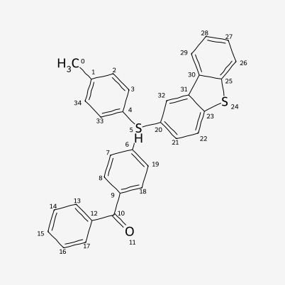 Cc1ccc([SH](c2ccc(C(=O)c3ccccc3)cc2)c2ccc3sc4ccccc4c3c2)cc1